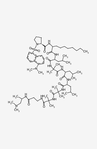 CCCCCCCCC(NC(=O)[C@@H]1CCCN1S(=O)(=O)c1cccc2c(N(C)C)cccc12)C(=O)NC(CC(C)C)C(=O)NC(C)(C)C(=O)NC(CC(C)C)C(=O)NC(CC(C)C)C(=O)NC(C)(C)C(=O)NC(C)(C)C(=O)NCCC(=O)NC(C)CN(C)C